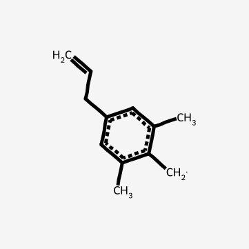 [CH2]c1c(C)cc(CC=C)cc1C